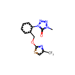 Cn1nnn(-c2ccccc2COc2nc(C(F)(F)F)cs2)c1=O